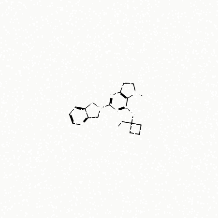 [O-][S@+]1CCc2nc(N3Cc4cccnc4C3)nc(NC3(CO)CCC3)c21